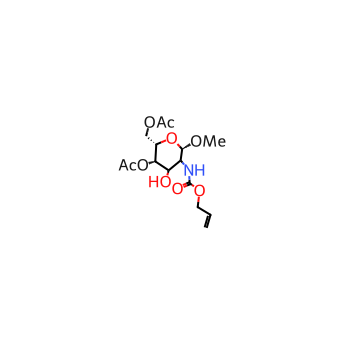 C=CCOC(=O)NC1C(O)[C@@H](OC(C)=O)[C@H](COC(C)=O)O[C@H]1OC